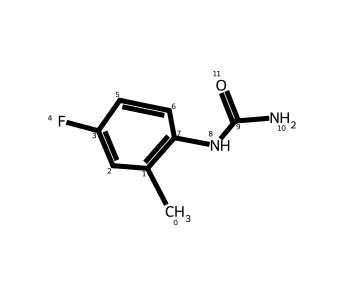 Cc1cc(F)ccc1NC(N)=O